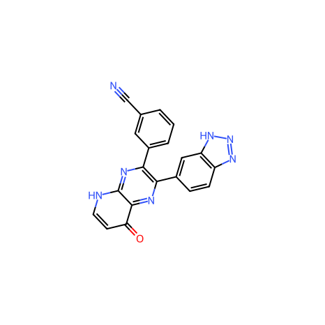 N#Cc1cccc(-c2nc3[nH]ccc(=O)c3nc2-c2ccc3nn[nH]c3c2)c1